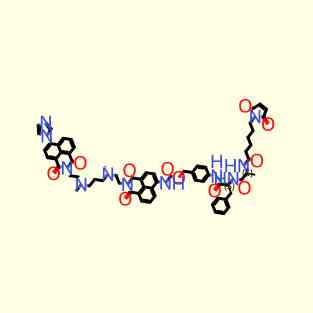 C[C@H](NC(=O)CCCCCN1C(=O)C=CC1=O)C(=O)N[C@@H](Cc1ccccc1)C(=O)Nc1ccc(COC(=O)Nc2ccc3c4c(cccc24)C(=O)N(CCN(C)CCCN(C)CCN2C(=O)c4cccc5c(-n6ccnc6)ccc(c45)C2=O)C3=O)cc1